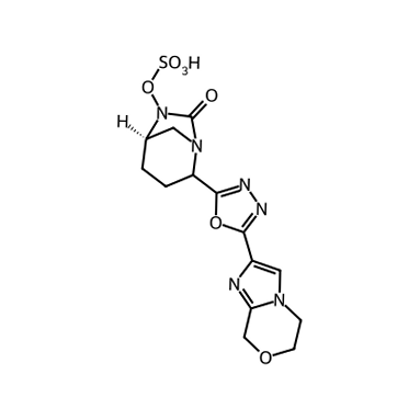 O=C1N2C[C@@H](CCC2c2nnc(-c3cn4c(n3)COCC4)o2)N1OS(=O)(=O)O